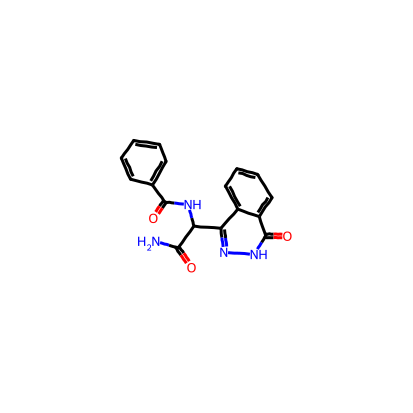 NC(=O)C(NC(=O)c1ccccc1)c1n[nH]c(=O)c2ccccc12